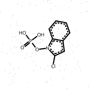 O=P(O)(O)On1c(Cl)cc2ccccc21